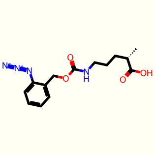 C[C@@H](CCCNC(=O)OCc1ccccc1N=[N+]=[N-])C(=O)O